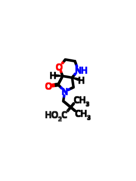 CC(C)(CN1C[C@H]2NCCO[C@H]2C1=O)C(=O)O